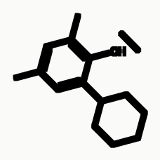 CC.Cc1cc(C)c(O)c(C2CCCCC2)c1